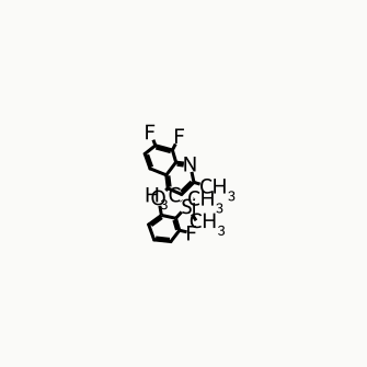 Cc1cc(Oc2cccc(F)c2[Si](C)(C)C)c2ccc(F)c(F)c2n1